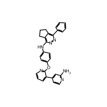 Nc1cc(-c2cccnc2Oc2ccc(Nc3nnc(-c4ccccc4)c4c3CCC4)cc2)ccn1